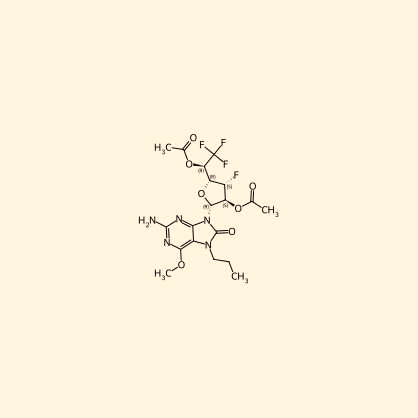 CCCn1c(=O)n([C@@H]2O[C@H]([C@@H](OC(C)=O)C(F)(F)F)[C@H](F)[C@H]2OC(C)=O)c2nc(N)nc(OC)c21